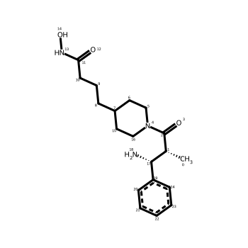 C[C@@H](C(=O)N1CCC(CCCC(=O)NO)CC1)[C@@H](N)c1ccccc1